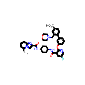 Cc1cccc2nc(C(=O)N[C@H]3CC[C@H](NC(=O)c4cc(F)cnc4Oc4cccc(-c5ccc(C(=O)O)cc5CN5CCOCC5)c4)CC3)cn12